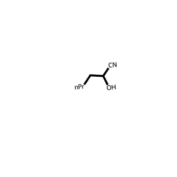 [CH2]CCCC(O)C#N